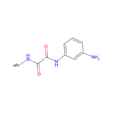 CCCNC(=O)C(=O)Nc1cccc(N)c1